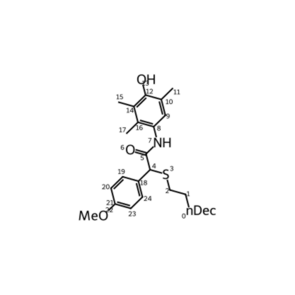 CCCCCCCCCCCCSC(C(=O)Nc1cc(C)c(O)c(C)c1C)c1ccc(OC)cc1